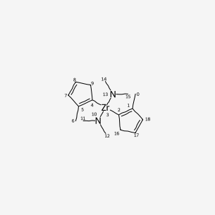 CC1=[C]([Zr]([C]2=C(C)C=CC2)([N](C)C)[N](C)C)CC=C1